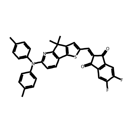 Cc1ccc(N(c2ccc(C)cc2)c2ccc3c(n2)C(C)(C)c2cc(C=C4C(=O)c5cc(F)c(F)cc5C4=O)sc2-3)cc1